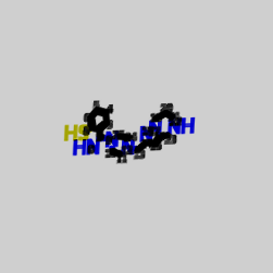 N=C(c1ccccc1S)N1CCN(Cc2cc3n(n2)CCCNC3)CC1